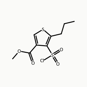 CCCc1scc(C(=O)OC)c1S(=O)(=O)Cl